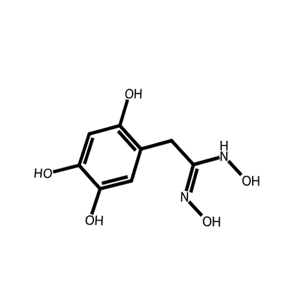 ON=C(Cc1cc(O)c(O)cc1O)NO